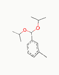 Cc1cccc(C(OC(C)C)OC(C)C)c1